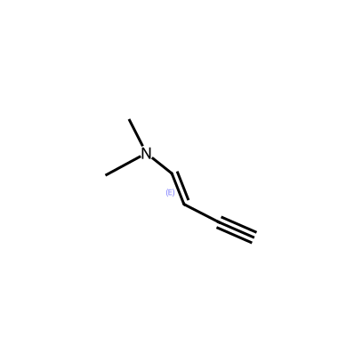 C#C/C=C/N(C)C